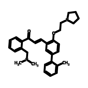 Cc1ccccc1-c1ccc(OCCN2CCCC2)c(C=CC(=O)c2ccccc2CN(C)C)c1